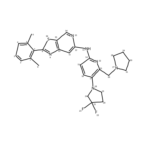 Cc1cccc(C)c1-c1nc2cc(Nc3ccc(N4CCC(F)(F)C4)c(CN4CCCC4)n3)ncc2s1